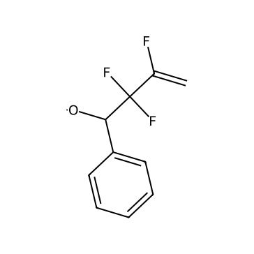 C=C(F)C(F)(F)C([O])c1ccccc1